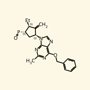 C=C1[C@H](CC)[C@@H](P=O)C[C@@H]1n1cnc2c(OCc3ccccc3)nc(C)nc21